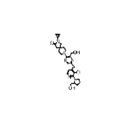 O=C1CC2(CCN(c3ncc(Sc4ccnc(N5CCCC5CO)c4Cl)nc3CO)CC2)CN1C1CC1